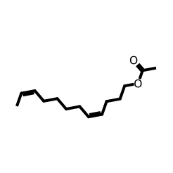 C/C=C\CCCC/C=C\CCCOC(C)=O